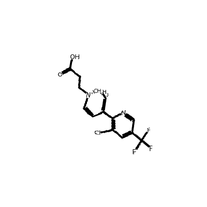 C=[N+](/C=C\C(=C/C)c1ncc(C(F)(F)F)cc1Cl)CCC(=O)O